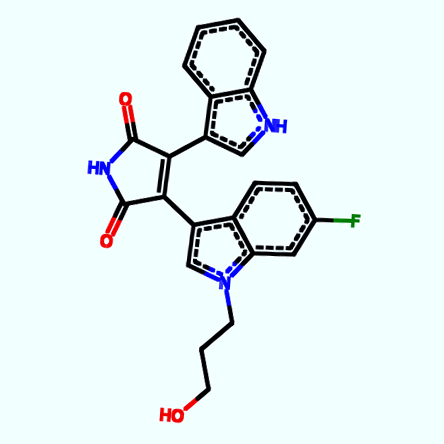 O=C1NC(=O)C(c2cn(CCCO)c3cc(F)ccc23)=C1c1c[nH]c2ccccc12